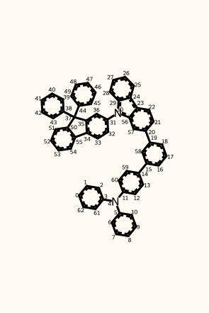 c1ccc(N(c2ccccc2)c2ccc(-c3cccc(-c4ccc5c6ccccc6n(-c6ccc7c(c6)C(c6ccccc6)(c6ccccc6)c6ccccc6-7)c5c4)c3)cc2)cc1